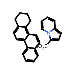 O=C(O)c1ccc2ccccn12.c1ccc2c(c1)ccc1c3c(ccc12)CCCC3